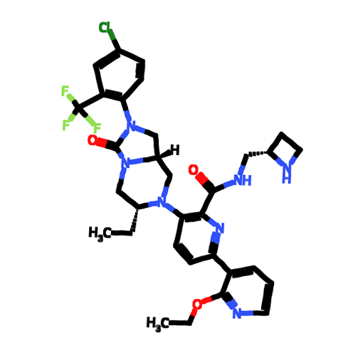 CCOc1ncccc1-c1ccc(N2C[C@H]3CN(c4ccc(Cl)cc4C(F)(F)F)C(=O)N3C[C@H]2CC)c(C(=O)NC[C@@H]2CCN2)n1